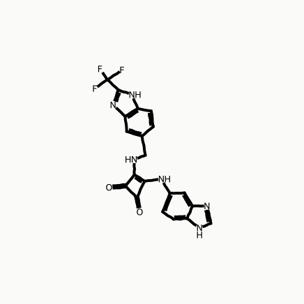 O=c1c(NCc2ccc3[nH]c(C(F)(F)F)nc3c2)c(Nc2ccc3[nH]cnc3c2)c1=O